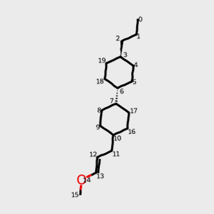 CCC[C@H]1CC[C@H](C2CCC(C/C=C/OC)CC2)CC1